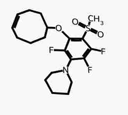 CS(=O)(=O)c1c(F)c(F)c(N2CCCCC2)c(F)c1OC1CC/C=C\CCC1